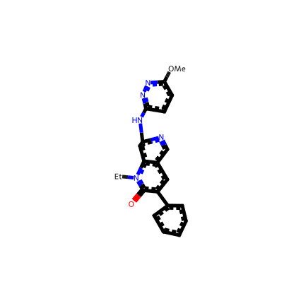 CCn1c(=O)c(-c2ccccc2)cc2cnc(Nc3ccc(OC)nn3)cc21